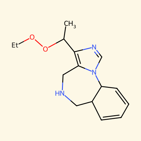 CCOOC(C)c1ncn2c1CNCC1C=CC=CC12